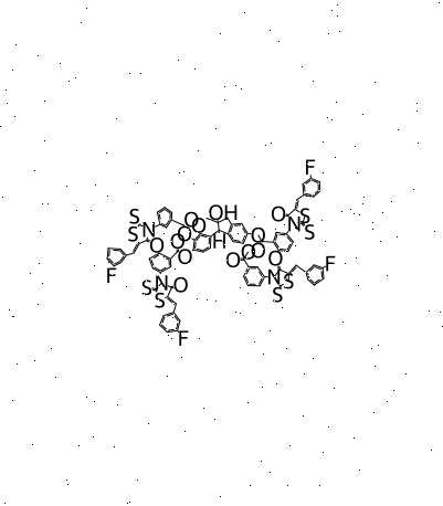 O=C(Oc1cc2c(cc1OC(=O)c1cccc(N3C(=O)/C(=C/c4cccc(F)c4)SC3=S)c1)[C@@H]1c3ccc(OC(=O)c4cccc(N5C(=O)/C(=C/c6cccc(F)c6)SC5=S)c4)c(OC(=O)c4cccc(N5C(=O)/C(=C/c6cccc(F)c6)SC5=S)c4)c3OC[C@]1(O)C2)c1cccc(N2C(=O)/C(=C/c3cccc(F)c3)SC2=S)c1